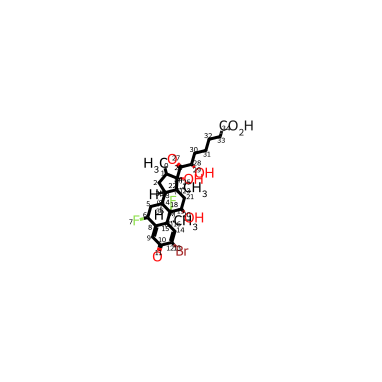 CC1C[C@H]2[C@@H]3CC(F)C4=CC(=O)C(Br)=C[C@]4(C)[C@@]3(F)C(O)C[C@]2(C)[C@@]1(O)C(=O)C(O)CCCCC(=O)O